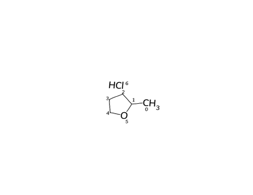 CC1CCCO1.Cl